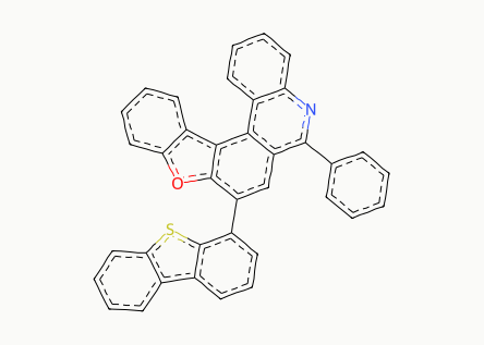 c1ccc(-c2nc3ccccc3c3c2cc(-c2cccc4c2sc2ccccc24)c2oc4ccccc4c23)cc1